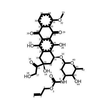 C=CCOC(=O)NC1CC(O[C@H]2C[C@](O)(C(=O)CO)Cc3c(O)c4c(c(O)c32)C(=O)c2c(OC)cccc2C4=O)OC(C)C1O